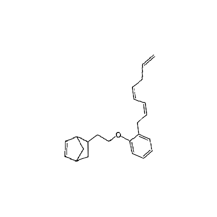 C=CC/C=C\C=C/Cc1ccccc1OCCC1CC2C=CC1C2